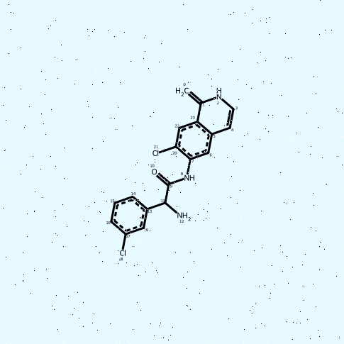 C=C1NC=Cc2cc(NC(=O)C(N)c3cccc(Cl)c3)c(Cl)cc21